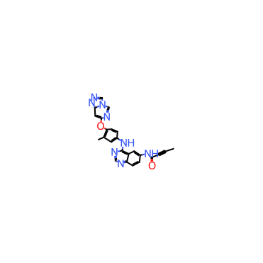 CC#CC(=O)Nc1ccc2ncnc(Nc3ccc(Oc4cc5nncn5cn4)c(C)c3)c2c1